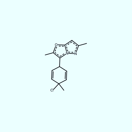 Cc1cc2oc(C)c(C3C=CC(C)(Cl)C=C3)n2n1